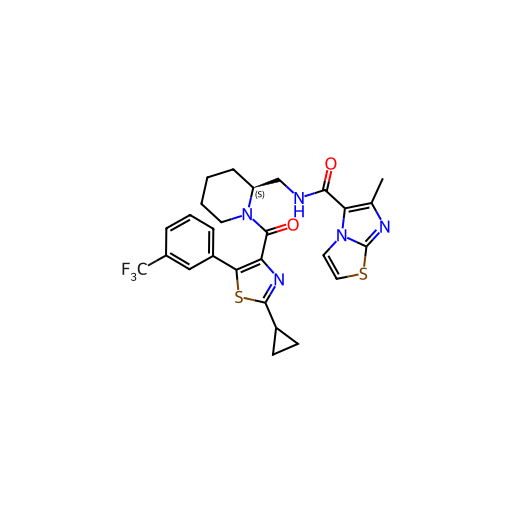 Cc1nc2sccn2c1C(=O)NC[C@@H]1CCCCN1C(=O)c1nc(C2CC2)sc1-c1cccc(C(F)(F)F)c1